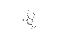 CC1C=Cc2cc(C(C)(C)C)nc(Cl)c2O1